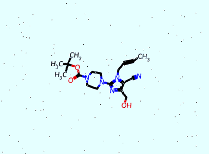 CC#CCn1c(N2CCN(C(=O)OC(C)(C)C)CC2)nc(CO)c1C#N